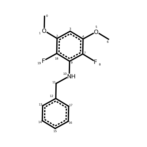 COc1cc(OC)c(F)c(NCc2ccccc2)c1F